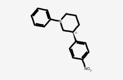 O=[N+]([O-])c1ccc([C@@H]2CCCN(c3ccccc3)C2)cc1